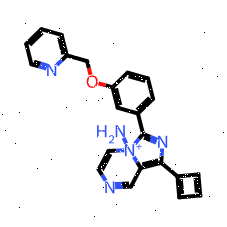 N[N+]12C=CN=CC1=C(C1=CC=C1)N=C2c1cccc(OCc2ccccn2)c1